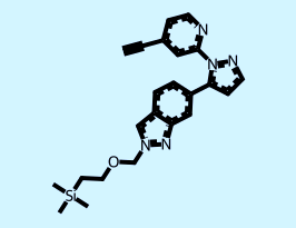 C#Cc1ccnc(-n2nccc2-c2ccc3cn(COCC[Si](C)(C)C)nc3c2)c1